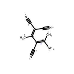 CC(=C(C#N)C#N)/C(C#N)=C(\C)N